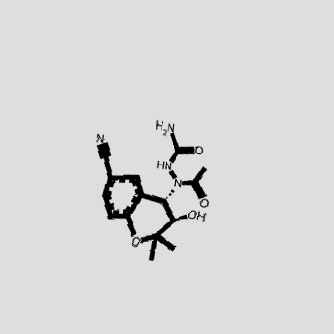 CC(=O)N(NC(N)=O)[C@H]1c2cc(C#N)ccc2OC(C)(C)[C@@H]1O